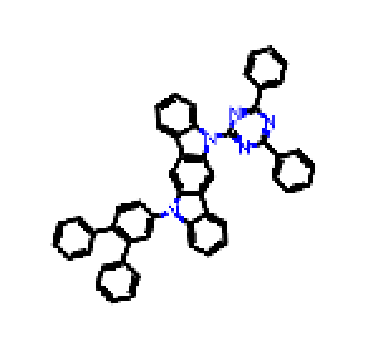 c1ccc(-c2nc(-c3ccccc3)nc(-n3c4ccccc4c4cc5c(cc43)c3ccccc3n5-c3ccc(-c4ccccc4)c(-c4ccccc4)c3)n2)cc1